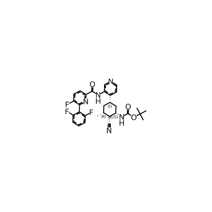 C[C@@H]1C[C@H](c2ccncc2NC(=O)c2ccc(F)c(-c3c(F)cccc3F)n2)C[C@H](NC(=O)OC(C)(C)C)[C@@H]1C#N